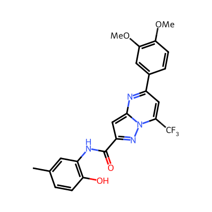 COc1ccc(-c2cc(C(F)(F)F)n3nc(C(=O)Nc4cc(C)ccc4O)cc3n2)cc1OC